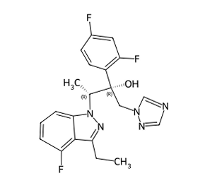 CCc1nn([C@H](C)[C@](O)(Cn2cncn2)c2ccc(F)cc2F)c2cccc(F)c12